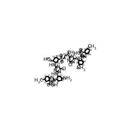 Cc1ccc(N=Nc2ccc(N)cc2Nc2nc(Cl)nc(Nc3cc(S(=O)(=O)CCN(C)c4nc(Cl)nc(Nc5cc(N)ccc5N=Nc5ccc(C)cc5S(=O)(=O)O)n4)ccc3CO)n2)c(S(=O)(=O)O)c1